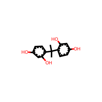 CC(C)(c1ccc(O)cc1O)c1ccc(O)cc1O